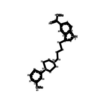 COC(=O)c1ccc2[nH]cc(CCCCN3CCN(c4cccc(OC)c4)CC3)c2c1